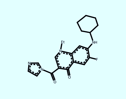 CCn1cc(C(=O)n2ccnc2)c(=O)c2cc(F)c(NC3CCCCC3)cc21